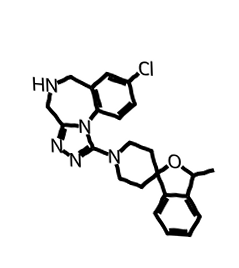 CC1OC2(CCN(c3nnc4n3-c3ccc(Cl)cc3CNC4)CC2)c2ccccc21